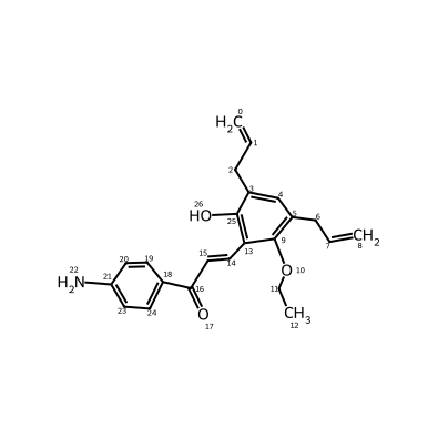 C=CCc1cc(CC=C)c(OCC)c(/C=C/C(=O)c2ccc(N)cc2)c1O